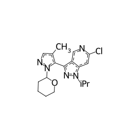 Cc1cnn(C2CCCCO2)c1-c1nn(C(C)C)c2cc(Cl)ncc12